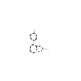 COc1ccc(-c2cccn3nc(N)nc23)cc1